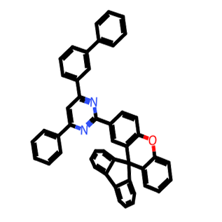 c1ccc(-c2cccc(-c3cc(-c4ccccc4)nc(-c4ccc5c(c4)C4(c6ccccc6O5)c5ccccc5-c5ccccc54)n3)c2)cc1